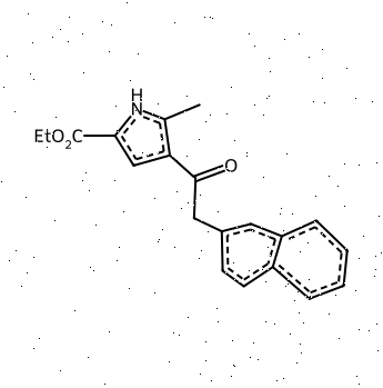 CCOC(=O)c1cc(C(=O)Cc2ccc3ccccc3c2)c(C)[nH]1